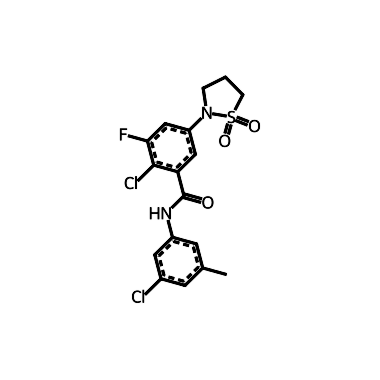 Cc1cc(Cl)cc(NC(=O)c2cc(N3CCCS3(=O)=O)cc(F)c2Cl)c1